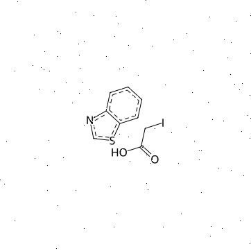 O=C(O)CI.c1ccc2scnc2c1